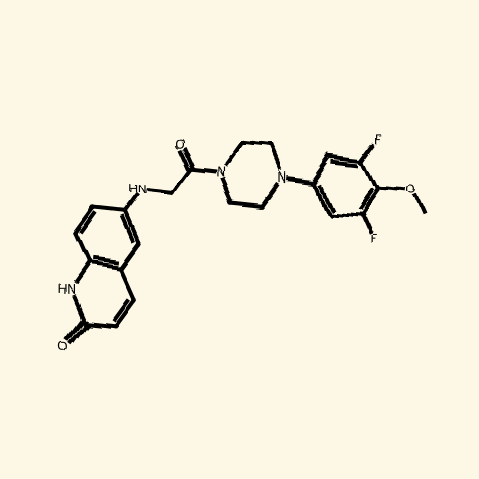 COc1c(F)cc(N2CCN(C(=O)CNc3ccc4[nH]c(=O)ccc4c3)CC2)cc1F